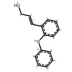 OC/C=C/c1ccccc1Oc1ccccc1